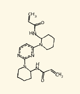 C=CC(=O)NC1CCCCN1c1ccnc(N2CCCCC2NC(=O)C=C)n1